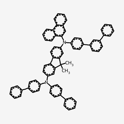 CC1(C)c2cc(N(c3ccc(-c4ccccc4)cc3)c3ccc(-c4ccccc4)cc3)ccc2-c2ccc(N(c3ccc(-c4cccc(-c5ccccc5)c4)cc3)c3cc4ccccc4c4ccccc34)cc21